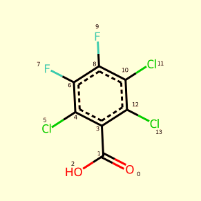 O=C(O)c1c(Cl)c(F)c(F)c(Cl)c1Cl